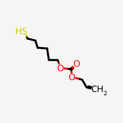 C=CCOC(=O)OCCCCCCS